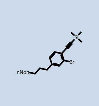 CCCCCCCCCCCCc1ccc(C#C[Si](C)(C)C)c(Br)c1